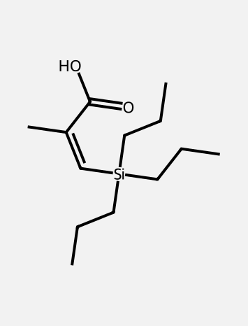 CCC[Si](C=C(C)C(=O)O)(CCC)CCC